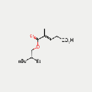 CCCCC(CC)COC(=O)C(C)=CCC(=O)O